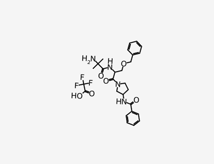 CC(C)(N)C(=O)NC(COCc1ccccc1)C(=O)N1CCC(NC(=O)c2ccccc2)C1.O=C(O)C(F)(F)F